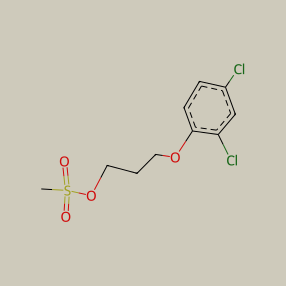 CS(=O)(=O)OCCCOc1ccc(Cl)cc1Cl